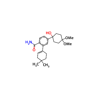 COC1(OC)CCC(O)(c2ccc(C(N)=O)c(C3=CCC(C)(C)CC3)c2)CC1